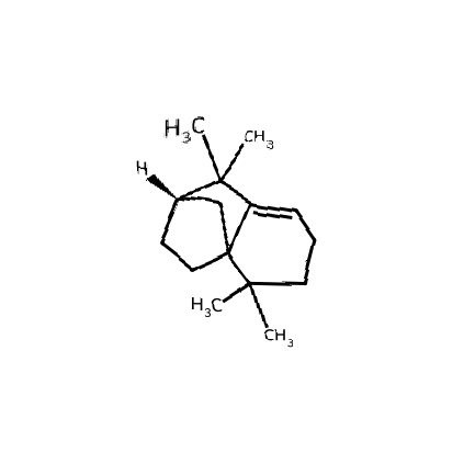 CC1(C)C2=CCCC(C)(C)C23CC[C@H]1C3